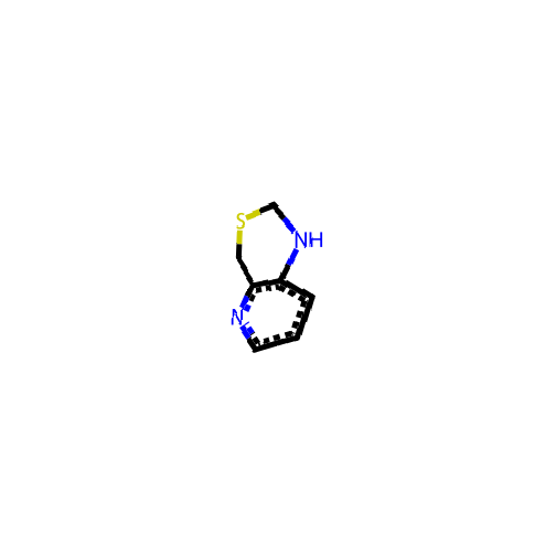 c1cnc2c(c1)NCSC2